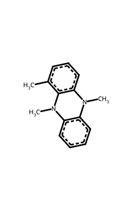 Cc1cccc2c1N(C)c1ccccc1N2C